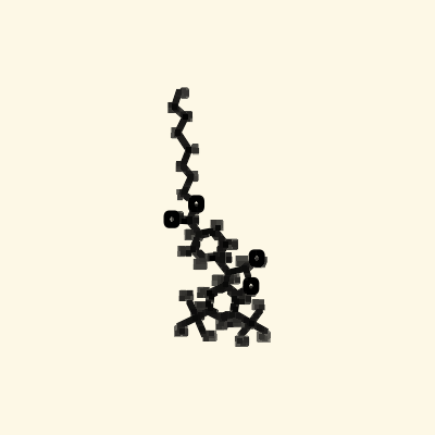 CCCCCCCCOC(=O)c1ccc(C2C(=O)Oc3c2cc(C(C)(C)C)cc3C(C)(C)C)cc1